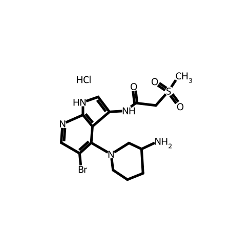 CS(=O)(=O)CC(=O)Nc1c[nH]c2ncc(Br)c(N3CCCC(N)C3)c12.Cl